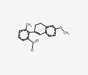 COc1ccc2c(c1)CCC(c1c(C)cccc1[N+](=O)[O-])=C2